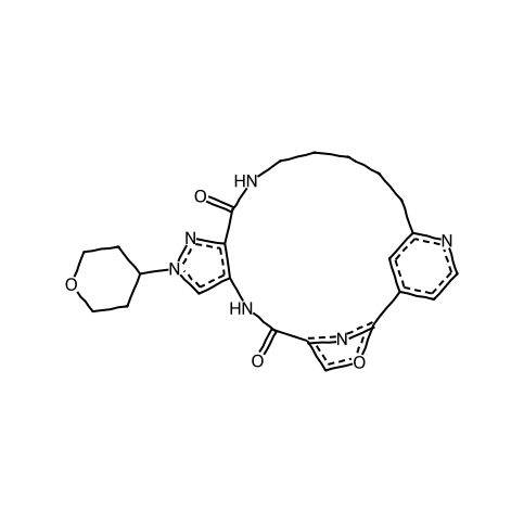 O=C1Nc2cn(C3CCOCC3)nc2C(=O)NCCCCCc2cc(ccn2)-c2nc1co2